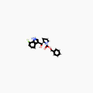 O=C(c1c[nH]c2c(F)cccc12)[C@H]1CCCN1C(=O)OCc1ccccc1